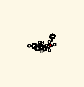 C[C@]12CCC(=O)C=C1CC[C@@H]1[C@H]2C(O)C[C@@]2(C)[C@H]1CCC2(OC(=O)OCc1ccccc1)C(=O)OCCl